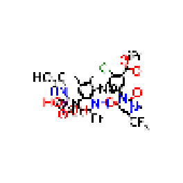 CC(C)OC(=O)c1cc(-n2c(=O)cc(C(F)(F)F)n(C)c2=O)ccc1Cl.CCC(CC)Nc1c([N+](=O)[O-])cc(C)c(C)c1[N+](=O)[O-].O=C(O)CNCP(=O)(O)O